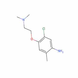 Cc1cc(OCCN(C)C)c(Cl)cc1N